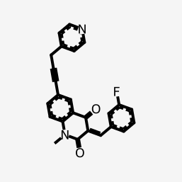 CN1C(=O)/C(=C/c2cccc(F)c2)C(=O)c2cc(C#CCc3ccncc3)ccc21